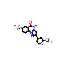 Cn1c(=O)c2cc(C(F)(F)F)ccc2n2nc(-c3ccnc(C(F)(F)F)c3)cc12